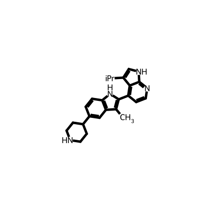 Cc1c(-c2ccnc3[nH]cc(C(C)C)c23)[nH]c2ccc(C3CCNCC3)cc12